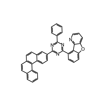 c1ccc(-c2nc(-c3ccc4c(ccc5ccc6ccccc6c54)c3)nc(-c3cccc4oc5cccnc5c34)n2)cc1